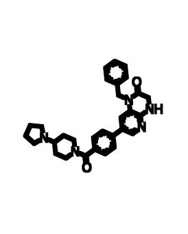 O=C(c1ccc(-c2cnc3c(c2)N(Cc2ccccc2)C(=O)CN3)cc1)N1CCC(N2CCCC2)CC1